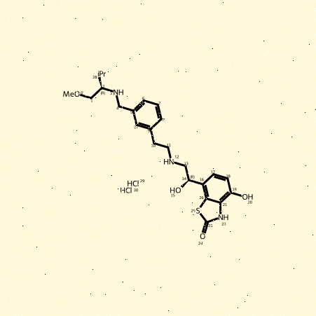 COC[C@H](NCc1cccc(CCNC[C@H](O)c2ccc(O)c3[nH]c(=O)sc23)c1)C(C)C.Cl.Cl